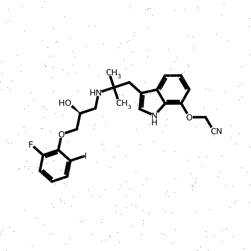 CC(C)(Cc1c[nH]c2c(OCC#N)cccc12)NC[C@H](O)COc1c(F)cccc1I